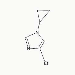 CCc1cn(C2CC2)cn1